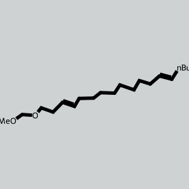 CCCCC=CCCCCCCCCC=CCCOCOC